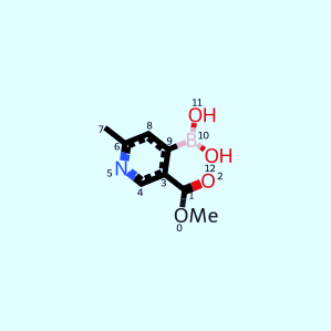 COC(=O)c1cnc(C)cc1B(O)O